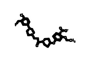 CCOc1cc(OC2CCN(C(=O)CCN3CCN(c4ccc(Cl)c(CF)c4)CC3)CC2)ccc1[N+](=O)[O-]